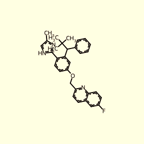 Cc1c[nH]c(-c2ccc(OCc3ccc4cc(F)ccc4n3)cc2C(c2ccccc2)C(C)(C)C)n1